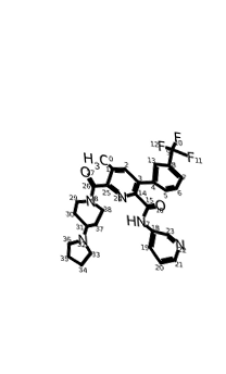 Cc1cc(-c2cccc(C(F)(F)F)c2)c(C(=O)Nc2cccnc2)nc1C(=O)N1CCC(N2CCCC2)CC1